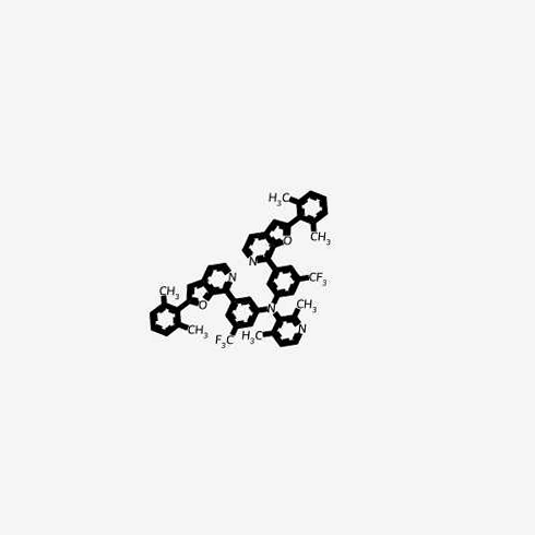 Cc1cccc(C)c1-c1cc2ccnc(-c3cc(N(c4cc(-c5nccc6cc(-c7c(C)cccc7C)oc56)cc(C(F)(F)F)c4)c4c(C)ccnc4C)cc(C(F)(F)F)c3)c2o1